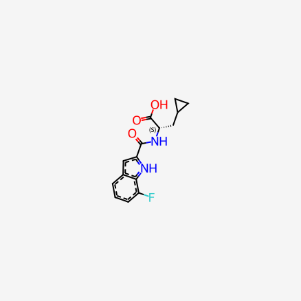 O=C(N[C@@H](CC1CC1)C(=O)O)c1cc2cccc(F)c2[nH]1